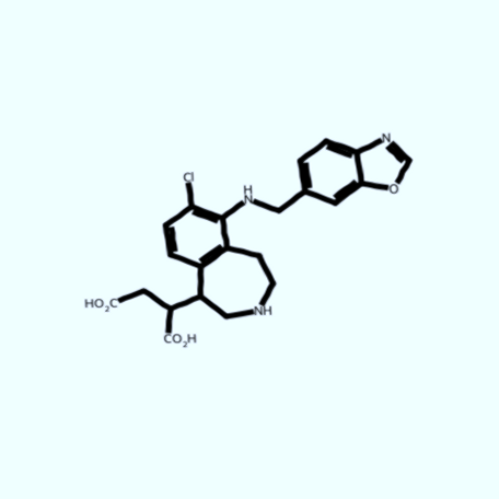 O=C(O)CC(C(=O)O)C1CNCCc2c1ccc(Cl)c2NCc1ccc2ncoc2c1